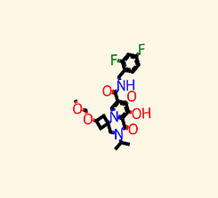 COCOC1CC2(C1)CN(C(C)C)C(=O)c1c(O)c(=O)c(C(=O)NCc3ccc(F)cc3F)cn12